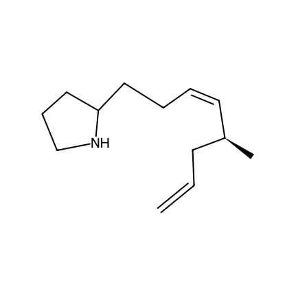 C=CC[C@H](C)/C=C\CCC1CCCN1